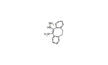 NN/C1=C(\N)c2ccccc2CCc2ccccc21